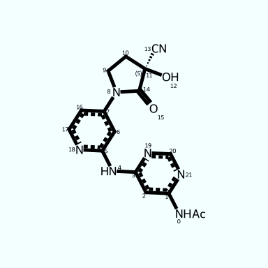 CC(=O)Nc1cc(Nc2cc(N3CC[C@](O)(C#N)C3=O)ccn2)ncn1